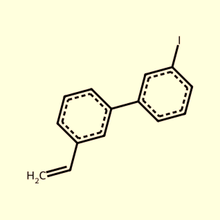 C=Cc1cccc(-c2cccc(I)c2)c1